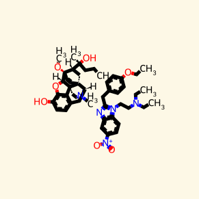 CCC[C@@](C)(O)[C@H]1C[C@@]23C=C[C@]1(OC)[C@@H]1Oc4c(O)ccc5c4[C@@]12CCN(C)[C@@H]3C5.CCOc1ccc(Cc2nc3cc([N+](=O)[O-])ccc3n2CCN(CC)CC)cc1